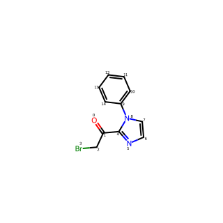 O=C(CBr)c1nccn1-c1ccccc1